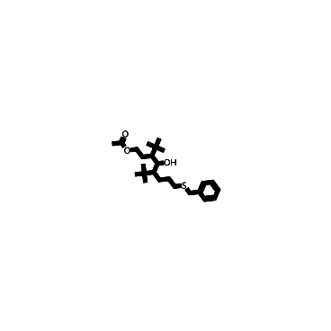 CC(=O)OCCC(C(O)C(CCCSCc1ccccc1)C(C)(C)C)C(C)(C)C